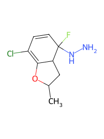 CC1CC2C(=C(Cl)C=CC2(F)NN)O1